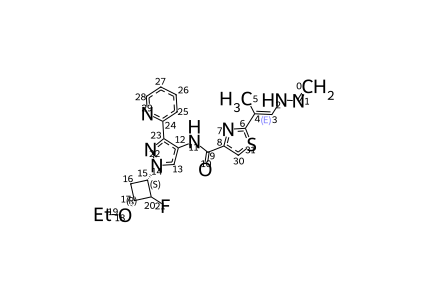 C=NN/C=C(\C)c1nc(C(=O)Nc2cn([C@H]3C[C@@H](OCC)C3F)nc2-c2ccccn2)cs1